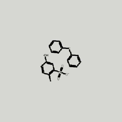 Cc1ccc(O)cc1S(=O)(=O)[O-].c1ccc([I+]c2ccccc2)cc1